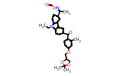 CCn1c2ccc(C(=O)c3ccc(OCC4COC(C)(C)O4)cc3C)cc2c2cc(/C(C)=N\OC=O)ccc21